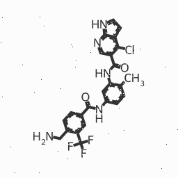 Cc1ccc(NC(=O)c2ccc(CN)c(C(F)(F)F)c2)cc1NC(=O)c1cnc2[nH]ccc2c1Cl